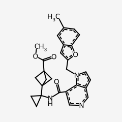 COC(=O)C12CC(C3(NC(=O)c4cncc5ccn(Cc6cc7cc(C)ccc7o6)c45)CC3)(C1)C2